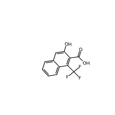 O=C(O)c1c(O)cc2ccccc2c1C(F)(F)F